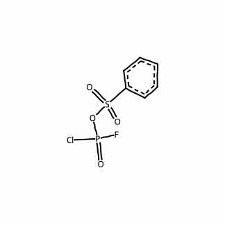 O=P(F)(Cl)OS(=O)(=O)c1ccccc1